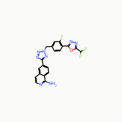 Nc1nccc2cc(-c3nnn(Cc4ccc(-c5nnc(C(F)F)o5)c(F)c4)n3)ccc12